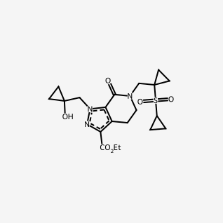 CCOC(=O)c1nn(CC2(O)CC2)c2c1CCN(CC1(S(=O)(=O)C3CC3)CC1)C2=O